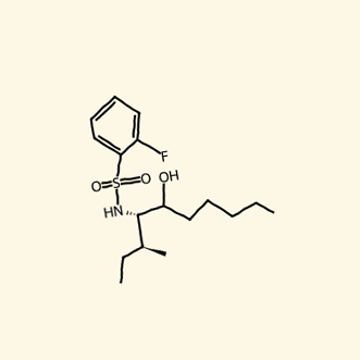 CCCCCC(O)[C@@H](NS(=O)(=O)c1ccccc1F)[C@@H](C)CC